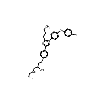 CCCCc1nc(-c2ccc(OCC(O)CNCC)cc2)cn1-c1ccc(Oc2ccc(Cl)cc2)cc1